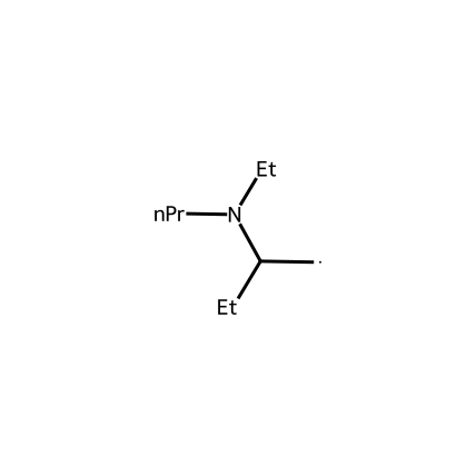 [CH2]C(CC)N(CC)CCC